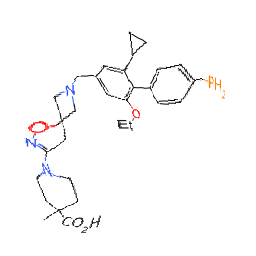 CCOc1cc(CN2CC3(CC(N4CCC(C)(C(=O)O)CC4)=NO3)C2)cc(C2CC2)c1-c1ccc(P)cc1